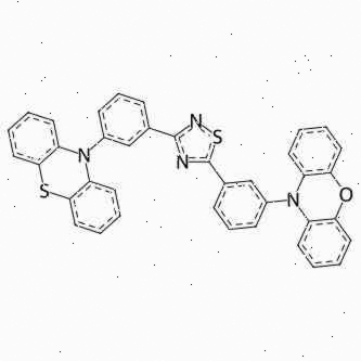 c1cc(-c2nc(-c3cccc(N4c5ccccc5Sc5ccccc54)c3)ns2)cc(N2c3ccccc3Oc3ccccc32)c1